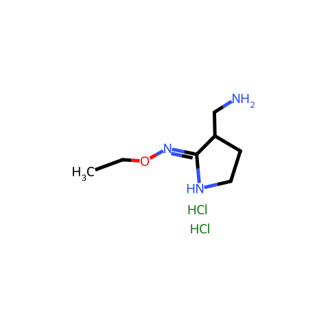 CCON=C1NCCC1CN.Cl.Cl